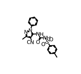 Cc1ccc(S(=O)(=O)NC(=O)Nc2c(C#N)c(C)nn2-c2ccccc2)cc1